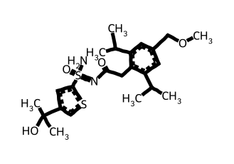 COCc1cc(C(C)C)c(CC(=O)N=S(N)(=O)c2cc(C(C)(C)O)cs2)c(C(C)C)c1